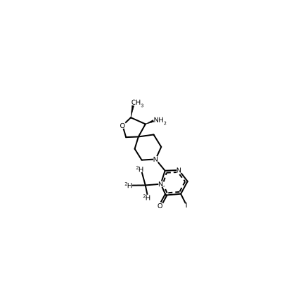 [2H]C([2H])([2H])n1c(N2CCC3(CC2)CO[C@@H](C)[C@H]3N)ncc(I)c1=O